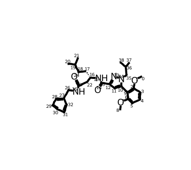 COc1cccc(OC)c1-c1cc(C(=O)N[C@@H](CCC(C)C)CC(=O)NCc2ccccc2)nn1CC(C)C